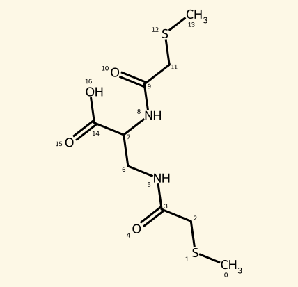 CSCC(=O)NCC(NC(=O)CSC)C(=O)O